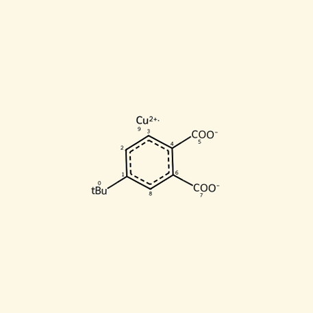 CC(C)(C)c1ccc(C(=O)[O-])c(C(=O)[O-])c1.[Cu+2]